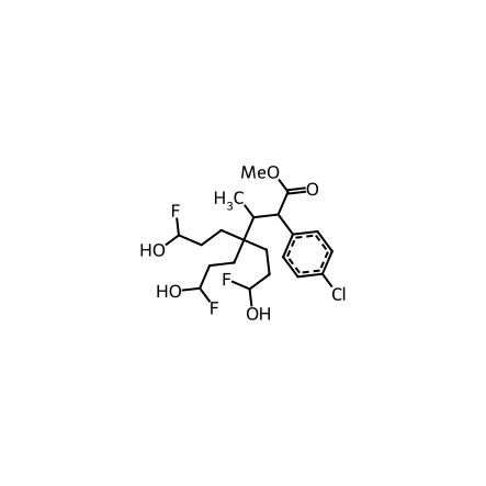 COC(=O)C(c1ccc(Cl)cc1)C(C)C(CCC(O)F)(CCC(O)F)CCC(O)F